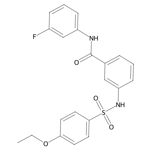 CCOc1ccc(S(=O)(=O)Nc2cccc(C(=O)Nc3cccc(F)c3)c2)cc1